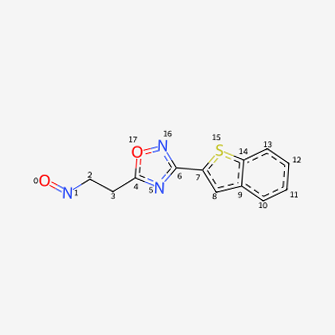 O=NCCc1nc(-c2cc3ccccc3s2)no1